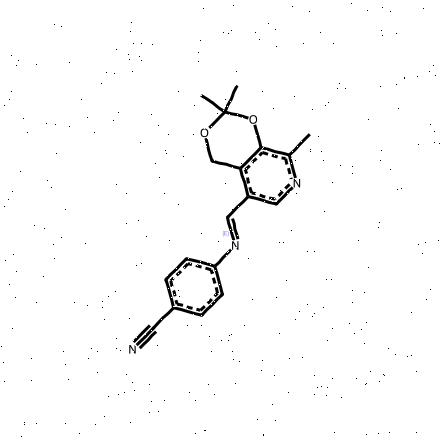 Cc1ncc(/C=N/c2ccc(C#N)cc2)c2c1OC(C)(C)OC2